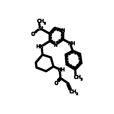 C=CC(=O)NC1CCCC(Nc2nc(Nc3ccc(C)cc3)ncc2[S+](C)[O-])C1